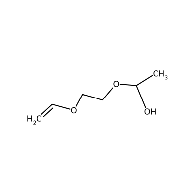 C=COCCOC(C)O